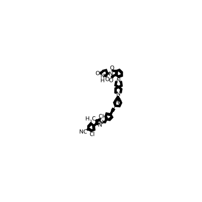 Cc1c(-c2ccc(C#N)c(Cl)c2)nn(Cc2ccc(C#C[C@H]3CC[C@H]4C(C3)C4N3CCC4(CCN(c5cccc6c5C(=O)N(C5CCC(=O)NC5=O)C6=O)CC4)CC3)cc2)c1C